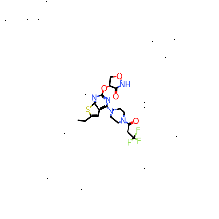 CCc1cc2c(N3CCN(C(=O)CC(F)(F)F)CC3)nc(O[C@H]3CONC3=O)nc2s1